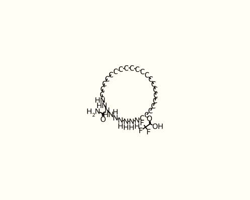 NC(=O)N1NNCCCCCCCCCCCCCCCCCCCCCNNNNNN1.O=C(O)C(F)(F)F